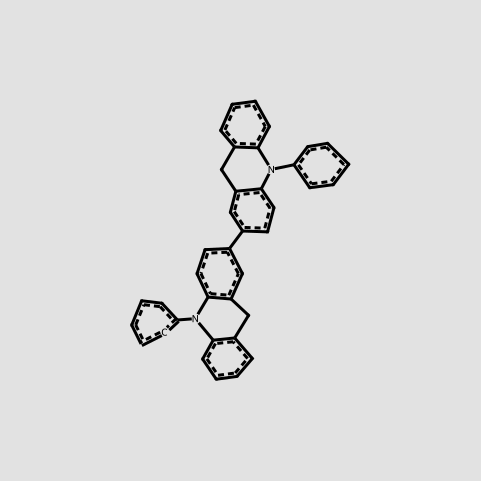 c1ccc(N2c3ccccc3Cc3cc(-c4ccc5c(c4)Cc4ccccc4N5c4ccccc4)ccc32)cc1